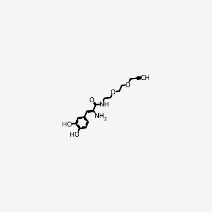 C#CCOCCOCCNC(=O)C(N)=Cc1ccc(O)c(O)c1